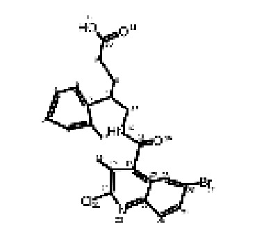 Cc1ccccc1C(CCC(=O)O)CNC(=O)c1c(C)c(Cl)nc2ccc(Br)cc12